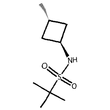 CC(C)(C)S(=O)(=O)N[C@H]1C[C@H](C)C1